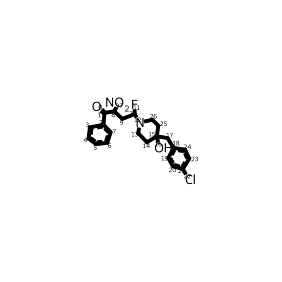 O=C(c1ccccc1)C(CC(F)N1CCC(O)(Cc2ccc(Cl)cc2)CC1)[N+](=O)[O-]